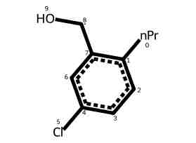 CCCc1ccc(Cl)cc1[CH]O